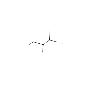 CCCC(C)C(Cl)[CH]Cl